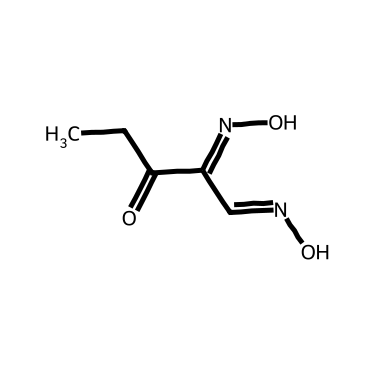 CCC(=O)C(C=NO)=NO